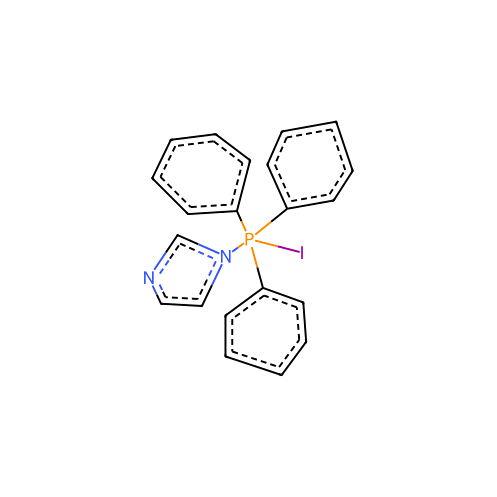 IP(c1ccccc1)(c1ccccc1)(c1ccccc1)n1ccnc1